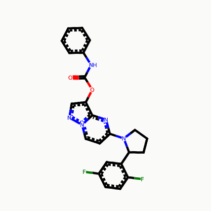 O=C(Nc1ccccc1)Oc1cnn2ccc(N3CCCC3c3cc(F)ccc3F)nc12